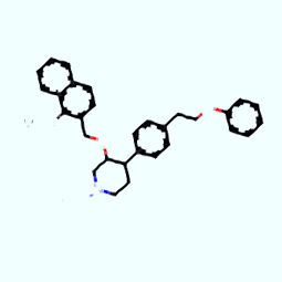 COc1c(COC2CN(C(=O)O)CCC2c2ccc(CCOc3ccccc3)cc2)ccc2ccccc12